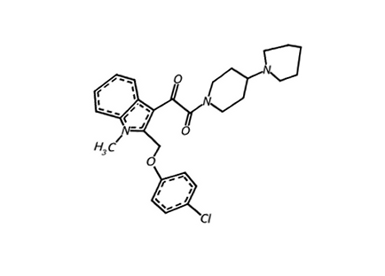 Cn1c(COc2ccc(Cl)cc2)c(C(=O)C(=O)N2CCC(N3CCCCC3)CC2)c2ccccc21